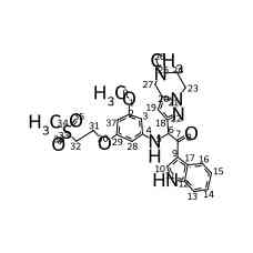 COc1cc(NC(C(=O)c2c[nH]c3ccccc23)c2cc3n(n2)CCN(C)C3)cc(OCCS(C)(=O)=O)c1